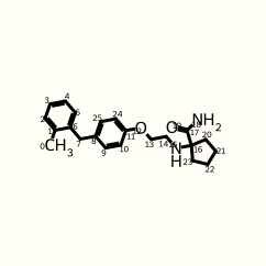 Cc1ccccc1Cc1ccc(OCCNC2(C(N)=O)CCCC2)cc1